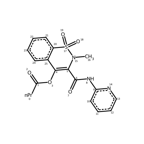 CCCC(=O)OC1=C(C(=O)Nc2ccccn2)N(C)S(=O)(=O)c2ccccc21